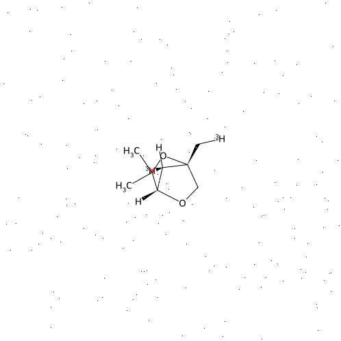 [3H]C[C@@]12CO[C@@H]([C@H]1[3H])C(C)(C)O2